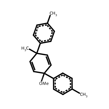 COC1(c2ccc(C)cc2)C=CC(C)(c2ccc(C)cc2)C=C1